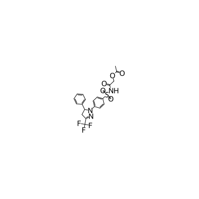 CC(=O)OCC(=O)NS(=O)(=O)c1ccc(N2N=C(C(F)(F)F)CC2c2ccccc2)cc1